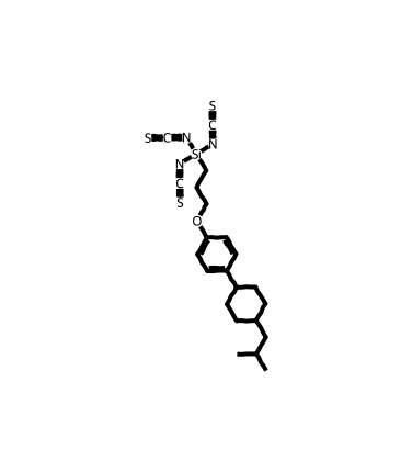 CC(C)CC1CCC(c2ccc(OCCC[Si](N=C=S)(N=C=S)N=C=S)cc2)CC1